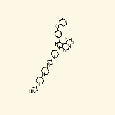 Nc1ncnc2c1c(-c1ccc(Oc3ccccc3)cc1)nn2C1CCN(C2CN(C3CCN(C4CCN(C5CNC5)CC4)CC3)C2)CC1